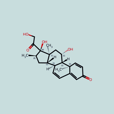 C[C@@H]1C[C@H]2[C@@H]3C=CC4=CC(=O)C=C[C@]4(C)[C@H]3[C@@H](O)C[C@]2(C)[C@@]1(O)C(=O)CO